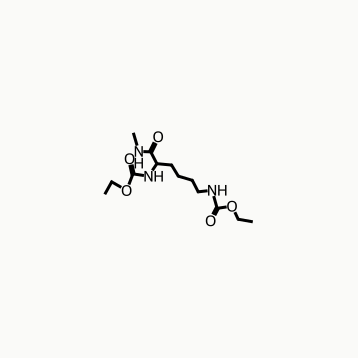 CCOC(=O)NCCCCC(NC(=O)OCC)C(=O)NC